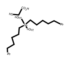 CCCCCCC[CH2][Sn]([CH2]CCCCCCC)([CH2]CCCCC(C)C)[CH2]CCCCC(C)C.O=C(O)CS